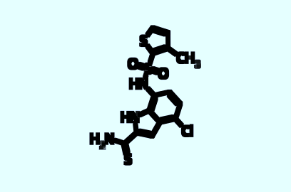 Cc1ccsc1S(=O)(=O)Nc1ccc(Cl)c2cc(C(N)=S)[nH]c12